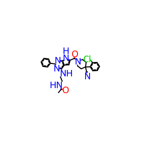 CC(=O)NCCNc1nc(-c2ccccc2)nc2[nH]c(C(=O)N3CCC(C#N)(c4ccccc4Cl)CC3)cc12